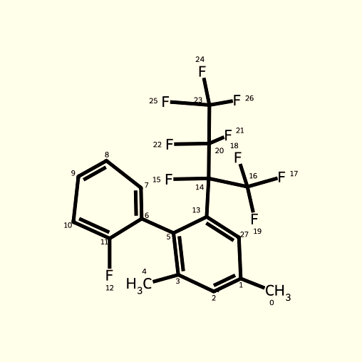 Cc1[c]c(C)c(-c2ccccc2F)c(C(F)(C(F)(F)F)C(F)(F)C(F)(F)F)c1